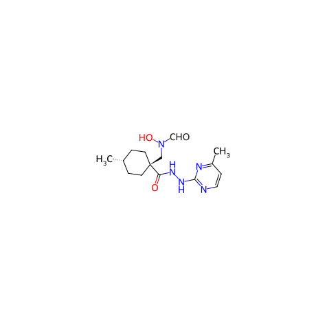 Cc1ccnc(NNC(=O)[C@]2(CN(O)C=O)CC[C@H](C)CC2)n1